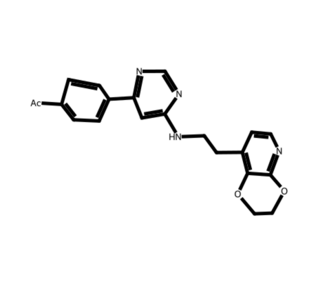 CC(=O)c1ccc(-c2cc(NCCc3ccnc4c3OCCO4)ncn2)cc1